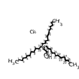 CCCCCCCCCCCC[N+](CCO)(CCCCCCCCCCCC)CCCCCCCCCCCC.[Cl-]